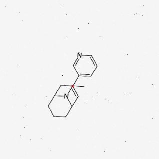 CCN1C2C=C(c3cccnc3)CC1CCC2